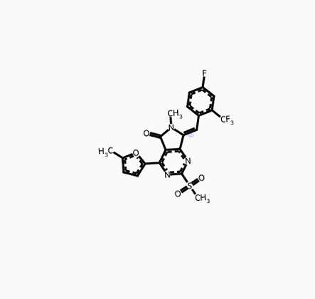 Cc1ccc(-c2nc(S(C)(=O)=O)nc3c2C(=O)N(C)/C3=C\c2ccc(F)cc2C(F)(F)F)o1